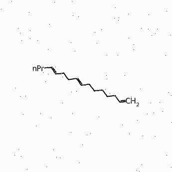 C=CCCCCCC=CCCC=CCCC